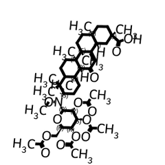 CON([C@@H]1O[C@H](COC(C)=O)[C@@H](OC(C)=O)[C@H](OC(C)=O)[C@H]1OC(C)=O)[C@H]1CC[C@@]2(C)C(CC[C@]3(C)[C@@H]2C(=O)C=C2[C@@H]4C[C@@](C)(C(=O)O)CC[C@]4(C)CC[C@]23C)C1(C)C